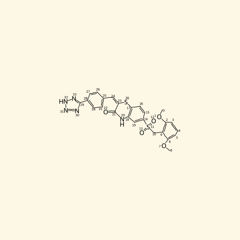 COc1cccc(OC)c1CS(=O)(=O)c1ccc2c(c1)NC(=O)/C(=C\c1ccc(-c3nn[nH]n3)cc1)S2